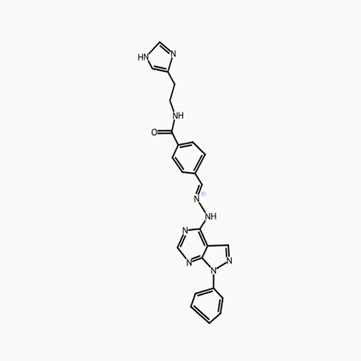 O=C(NCCc1c[nH]cn1)c1ccc(/C=N/Nc2ncnc3c2cnn3-c2ccccc2)cc1